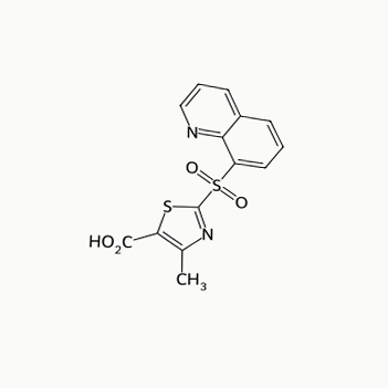 Cc1nc(S(=O)(=O)c2cccc3cccnc23)sc1C(=O)O